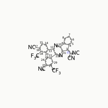 [C-]#[N+]/C(C#N)=C1\c2ccccc2-c2nc(-c3ccc(C#N)c(C(F)(F)F)c3)c(-c3ccc(C#N)c(C(F)(F)F)c3)nc21